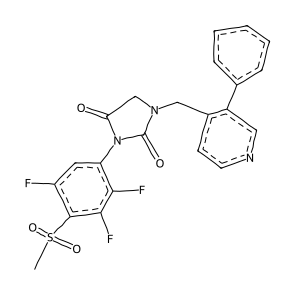 CS(=O)(=O)c1c(F)cc(N2C(=O)CN(Cc3ccncc3-c3ccccc3)C2=O)c(F)c1F